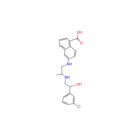 CC(CNc1ccc2c(C(=O)O)cccc2c1)NCC(O)c1cccc(Cl)c1